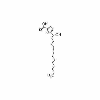 CCCCCCCCCCCCCC(O)c1ccc(C(=O)O)o1